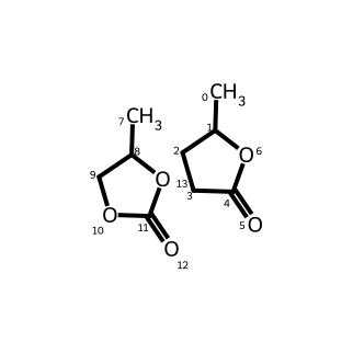 CC1CCC(=O)O1.CC1COC(=O)O1